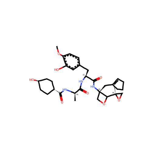 COc1ccc(C[C@H](NC(=O)[C@@H](C)NC(=O)[C@H]2CC[C@H](O)CC2)C(=O)N[C@@]2(CC3=CCCC3)COC2[C@@]2(C)CO2)cc1O